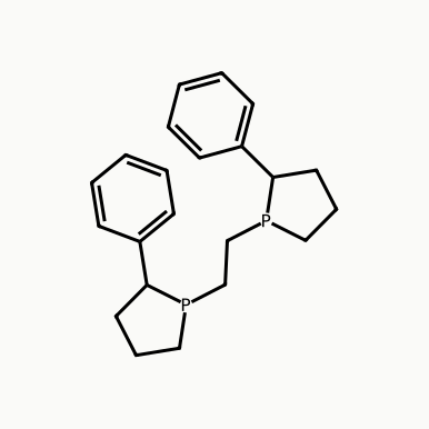 c1ccc(C2CCCP2CCP2CCCC2c2ccccc2)cc1